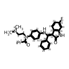 CC(C)C(=O)N(CCN(C)C)c1ccc(NC(=C2C(=O)Nc3cc(F)ccc32)c2ccccc2)cc1